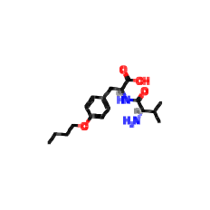 CCCCOc1ccc(C[C@H](NC(=O)[C@@H](N)C(C)C)C(=O)O)cc1